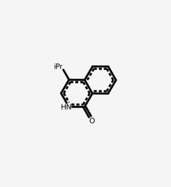 CC(C)c1c[nH]c(=O)c2ccccc12